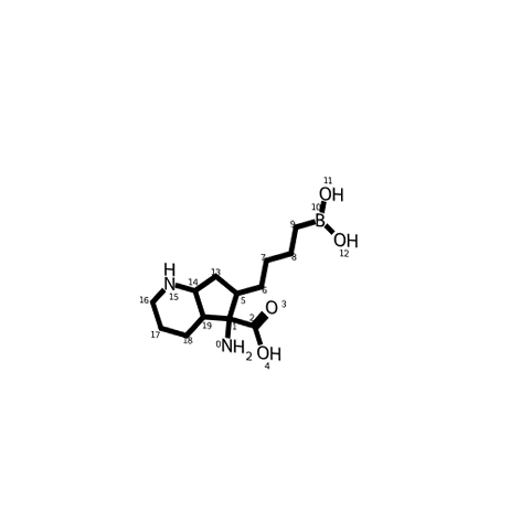 NC1(C(=O)O)C(CCCCB(O)O)CC2NCCCC21